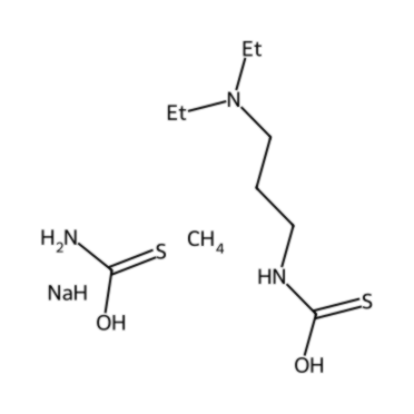 C.CCN(CC)CCCNC(O)=S.NC(O)=S.[NaH]